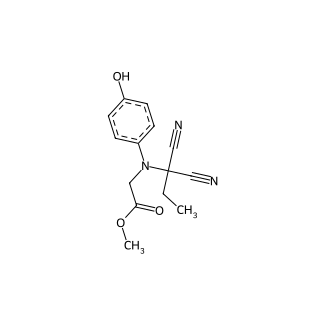 CCC(C#N)(C#N)N(CC(=O)OC)c1ccc(O)cc1